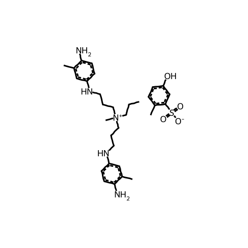 CCC[N+](C)(CCCNc1ccc(N)c(C)c1)CCCNc1ccc(N)c(C)c1.Cc1ccc(O)cc1S(=O)(=O)[O-]